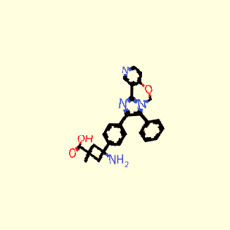 CC1(C(=O)O)CC(N)(c2ccc(-c3nc4n(c3-c3ccccc3)COc3ccncc3-4)cc2)C1